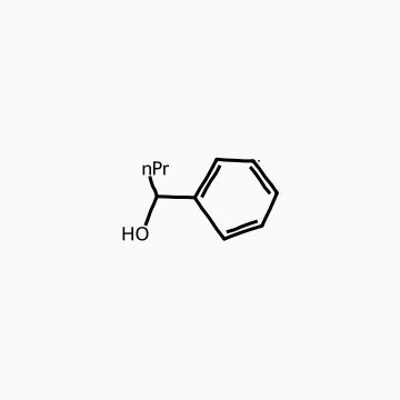 CCCC(O)c1c[c]ccc1